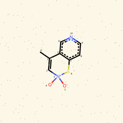 CC1=C[N+]([O-])([O-])Sc2ccncc21